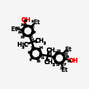 CCc1cc(C(C)(C)c2cccc(C(C)(C)c3cc(CC)c(O)c(CC)c3)c2)cc(CC)c1O